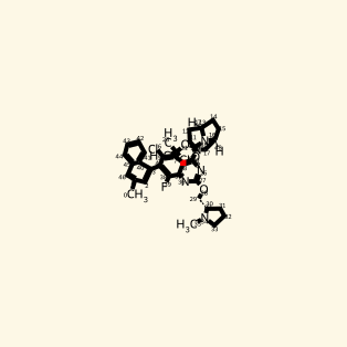 Cc1cc(-c2c(Cl)cc3c(N4CC[C@H]5CC[C@@H](C4)N5C(=O)OC(C)(C)C)nc(OC[C@@H]4CCCN4C)nc3c2F)c2ccccc2c1